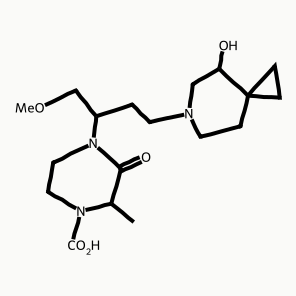 COCC(CCN1CCC2(CC2)C(O)C1)N1CCN(C(=O)O)C(C)C1=O